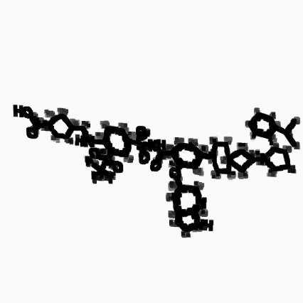 CC(C)c1ccccc1[C@@H]1CCCN1C1CC2(CCN(c3ccc(C(=O)NS(=O)(=O)c4ccc(NCC5CCN(C(=O)O)CC5)c(S(=O)(=O)C(F)(F)F)c4)c(Oc4cnc5[nH]ccc5c4)c3)CC2)C1